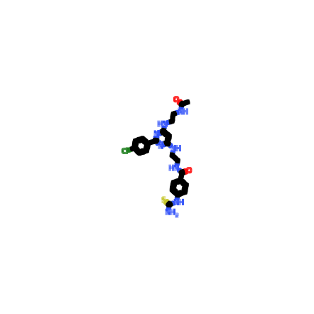 CC(=O)NCCNc1cc(NCCNC(=O)c2ccc(NC(N)=S)cc2)nc(-c2ccc(Cl)cc2)n1